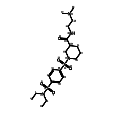 CCN(CC)S(=O)(=O)c1ccc(S(=O)(=O)N2CCCC(C(=O)NCCN(C)C)C2)cc1